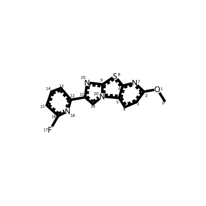 COc1ccc2c(n1)sc1nc(-c3cccc(F)n3)cn12